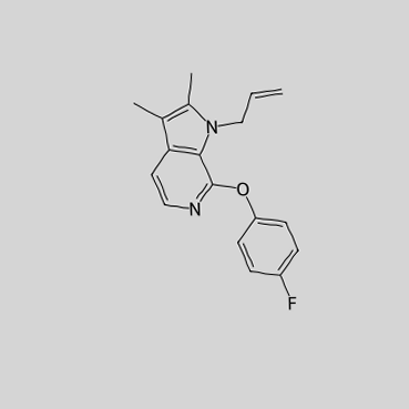 C=CCn1c(C)c(C)c2ccnc(Oc3ccc(F)cc3)c21